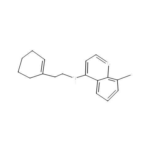 Fc1cccc2c(NCCC3=CCCCC3)ccnc12